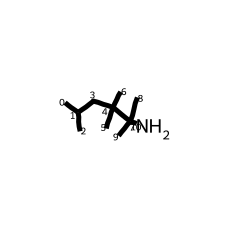 CC(C)CC(C)(C)C(C)(C)N